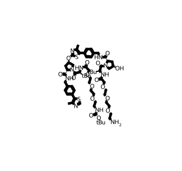 Cc1ncsc1-c1ccc(CNC(=O)[C@@H]2C[C@@H](Oc3nc(C)c(-c4ccc(CNC(=O)[C@@H]5C[C@@H](O)CN5C(=O)[C@@H](NC(=O)COCCOCCOCCN)C(C)(C)C)cc4)s3)CN2C(=O)[C@@H](NC(=O)COCCOCCOCCNC(=O)OC(C)(C)C)C(C)(C)C)cc1